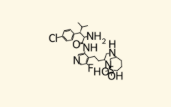 CC(C)[C@H](c1ccc(Cl)cc1)[C@@H](N)C(=O)Nc1cncc(F)c1CCC1CNC2CCCS(O)(O)N1C2